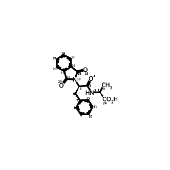 C[C@H](NC(=O)[C@@H](Cc1ccccc1)N1C(=O)c2ccccc2C1=O)C(=O)O